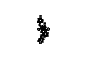 O=C(NCc1ccc(F)cc1)c1nc2c(CN3CCOCC3)cccn2c(=O)c1O